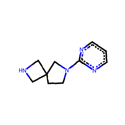 c1cnc(N2CCC3(CNC3)C2)nc1